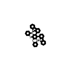 c1ccc2c(c1)Sc1c3c4c(c5c1B2n1c2ccccc2c2cccc-5c21)-c1cccc2c5ccccc5n(c12)B4c1ccccc1S3